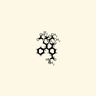 CC(C)Cn1c(CN(C(=O)O)C(C)(C)C)c(-c2ccccc2)c2cc(C(=O)NN)ccc2c1=O